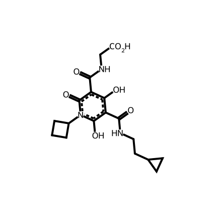 O=C(O)CNC(=O)c1c(O)c(C(=O)NCCC2CC2)c(O)n(C2CCC2)c1=O